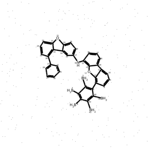 Bc1c(B)c(B)c(-c2cccc3c2oc2c(Nc4ccc5oc6cccc(-c7ccccc7)c6c5c4)cccc23)c(B)c1B